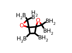 BC1C(B)C2(OC2(B)B)C12OC2(B)B